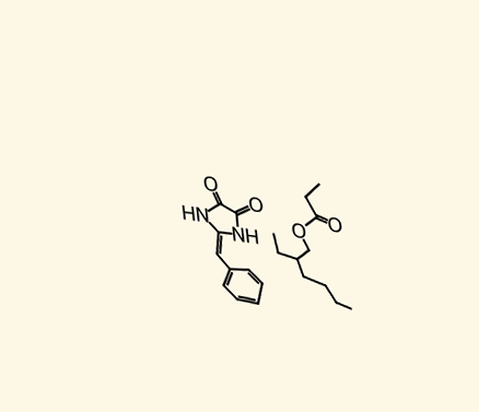 CCCCC(CC)COC(=O)CC.O=C1NC(=Cc2ccccc2)NC1=O